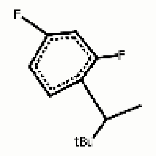 CC(c1ccc(F)cc1F)C(C)(C)C